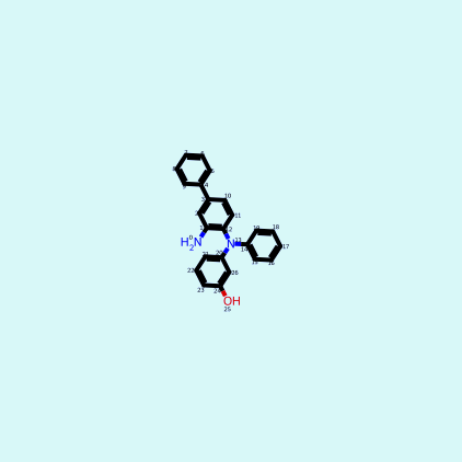 Nc1cc(-c2ccccc2)ccc1N(c1ccccc1)c1cccc(O)c1